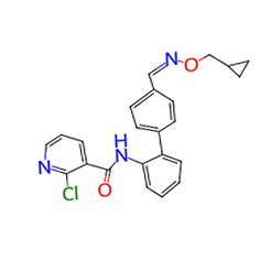 O=C(Nc1ccccc1-c1ccc(/C=N\OCC2CC2)cc1)c1cccnc1Cl